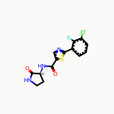 O=C(N[C@H]1CCNC1=O)c1cnc(-c2cccc(Cl)c2F)s1